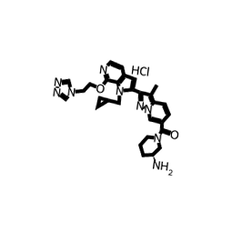 Cc1c(-c2cc3ccnc(OCCn4cnnc4)c3n2CC2CC2)nn2cc(C(=O)N3CCC[C@@H](N)C3)ccc12.Cl